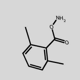 Cc1cccc(C)c1C(=O)ON